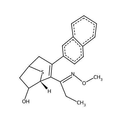 CCC(=NOC)C1=C(c2ccc3ccccc3c2)CC2CC(O)[C@@H]1S2